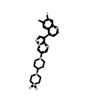 Cc1cc2c(-c3cnn4cc(N5CCC(N6CCS(=O)(=O)CC6)CC5)cnc34)ccnc2cc1F